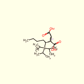 CCCCC(/C(=C\C(=O)O)C(=O)O)[Si](C(C)C)(C(C)C)C(C)C